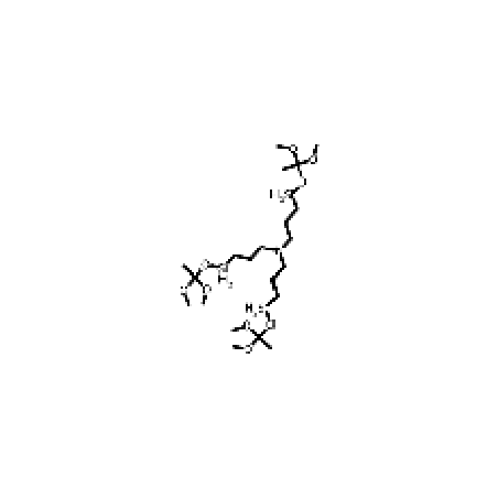 COC(C)(OC)O[SiH2]CCCN(CCC[SiH2]OC(C)(OC)OC)CCC[SiH2]OC(C)(OC)OC